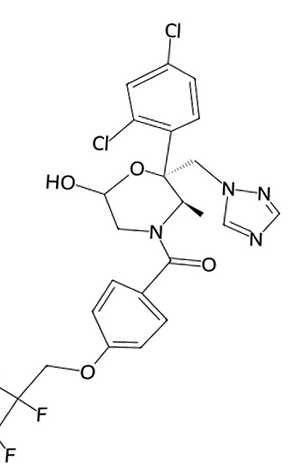 C[C@H]1N(C(=O)c2ccc(OCC(F)(F)C(F)F)cc2)CC(O)O[C@@]1(Cn1cncn1)c1ccc(Cl)cc1Cl